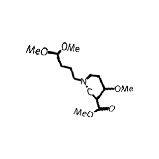 COC(=O)C1CN(CCCC(OC)OC)CCC1OC